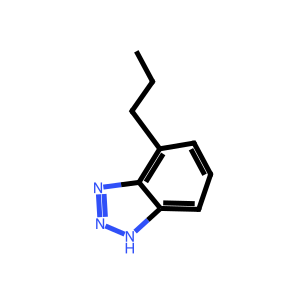 CCCc1cccc2[nH]nnc12